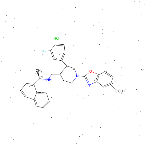 C[C@@H](NCC1CCN(c2nc3cc(C(=O)O)ccc3o2)CC1c1cccc(F)c1)c1cccc2ccccc12.Cl